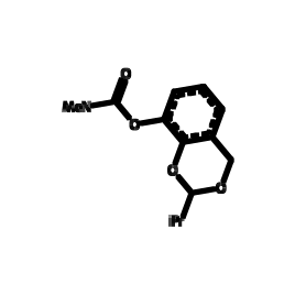 CNC(=O)Oc1cccc2c1OC(C(C)C)OC2